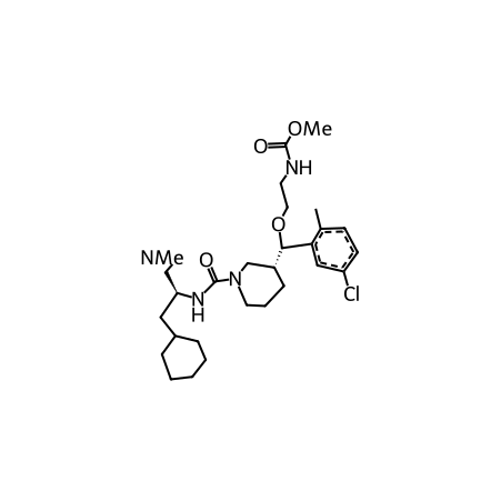 CNC[C@H](CC1CCCCC1)NC(=O)N1CCC[C@@H](C(OCCNC(=O)OC)c2cc(Cl)ccc2C)C1